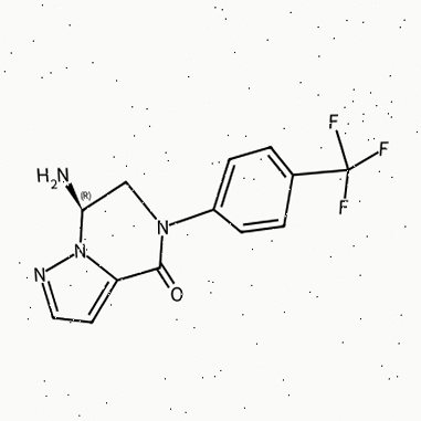 N[C@H]1CN(c2ccc(C(F)(F)F)cc2)C(=O)c2ccnn21